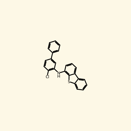 Clc1ccc(-c2ccccc2)cc1Nc1cccc2c1sc1ccccc12